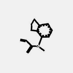 C=CC(=C)N(C)c1cccc2c1CCC2